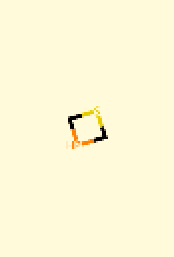 C1PCS1